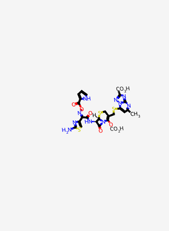 Cc1cc(SCC2=C(OC(=O)O)N3C(=O)[C@@H](NC(=O)/C(=N\OC(=O)c4ccc[nH]4)c4csc(N)n4)[C@H]3SC2)n2nc(C(=O)O)nc2n1